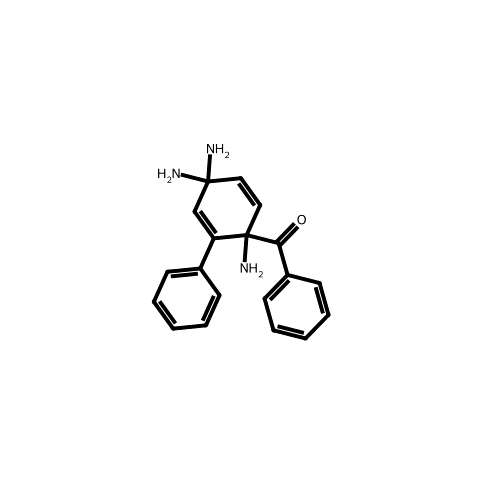 NC1(N)C=CC(N)(C(=O)c2ccccc2)C(c2ccccc2)=C1